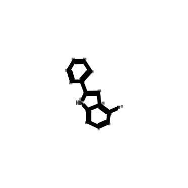 Fc1cccc2[nH]c(-c3ccccc3)cc12